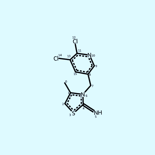 Cc1csc(=N)n1Cc1cnc(Cl)c(Cl)c1